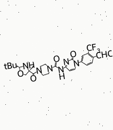 CC(C)(C)[C@H]1N[C@](C)(C(=O)N2CCN(C(=O)Nc3ccn(-c4ccc(C=O)c(C(F)(F)F)c4)c(=O)n3)CC2)CO1